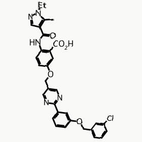 CCn1ncc(C(=O)Nc2ccc(OCc3cnc(-c4cccc(OCc5cccc(Cl)c5)c4)nc3)cc2C(=O)O)c1C